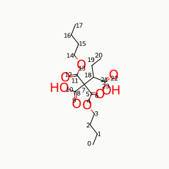 CCCCOC(=O)C(C(=O)O)(C(=O)OCCCC)C(CC)C(=O)O